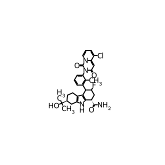 Cc1c(C2c3c([nH]c4c3CC[C@H](C(C)(C)O)C4)[C@@H](C(N)=O)CC2F)cccc1-n1c(=O)cc2c(Cl)cccn2c1=O